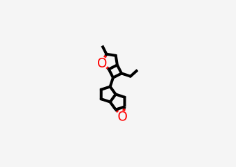 CCC1C2CC(C)OC2C1C1CCC2C1CC1OC12